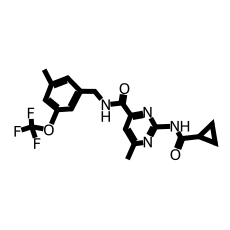 Cc1cc(CNC(=O)c2cc(C)nc(NC(=O)C3CC3)n2)cc(OC(F)(F)F)c1